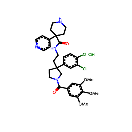 COc1cc(C(=O)N2CCC(CCNC(=O)C3(c4ccncc4)CCNCC3)(c3ccc(Cl)c(Cl)c3)C2)cc(OC)c1OC.Cl